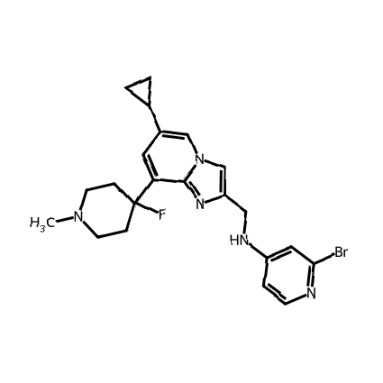 CN1CCC(F)(c2cc(C3CC3)cn3cc(CNc4ccnc(Br)c4)nc23)CC1